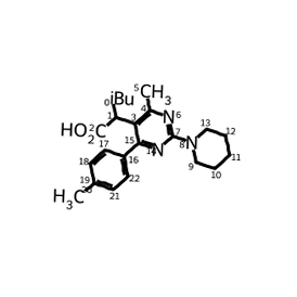 CCC(C)C(C(=O)O)c1c(C)nc(N2CCCCC2)nc1-c1ccc(C)cc1